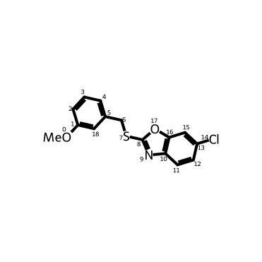 COc1cccc(CSc2nc3ccc(Cl)cc3o2)c1